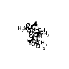 CC(C)C(=O)NC(C(=O)N1C[C@H]2C([C@H]1C(=O)NC(CC1CC1)C(=O)C(N)=O)C2(C)C)C1CC1